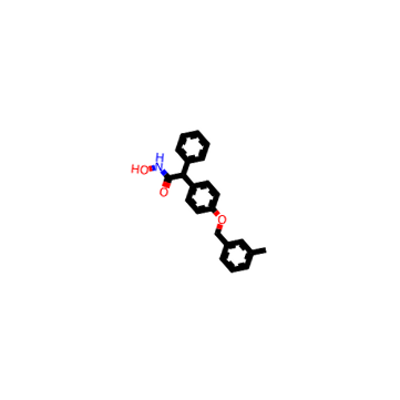 Cc1cccc(COc2ccc(C(C(=O)NO)c3ccccc3)cc2)c1